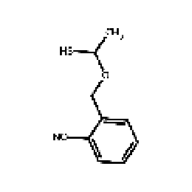 CC(S)OCc1ccccc1C#N